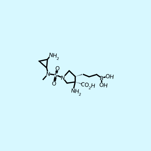 CN(C1CC1N)S(=O)(=O)N1C[C@H](CCCB(O)O)[C@](N)(C(=O)O)C1